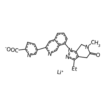 CCc1nn(-c2cccc3cc(-c4ccc(C(=O)[O-])nc4)ncc23)c2c1CC(=O)N(C)C2.[Li+]